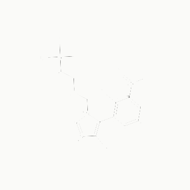 C[Si](C)(C)CCOCn1cnc(Br)c1-c1cccc([N+](=O)[O-])c1F